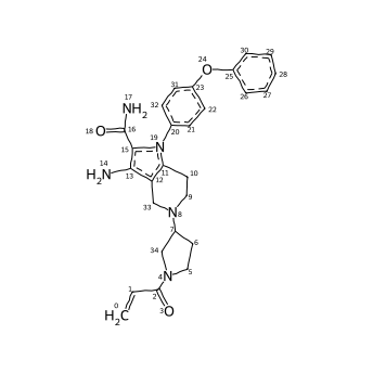 C=CC(=O)N1CCC(N2CCc3c(c(N)c(C(N)=O)n3-c3ccc(Oc4ccccc4)cc3)C2)C1